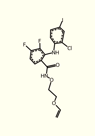 C=COCCONC(=O)c1ccc(F)c(F)c1Nc1ccc(I)cc1Cl